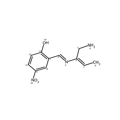 CC=C(CN)N=Cc1cc([N+](=O)[O-])ccc1O